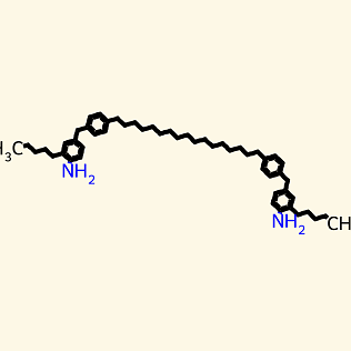 CCCCCc1cc(Cc2ccc(CCCCCCCCCCCCCCCCCc3ccc(Cc4ccc(N)c(CCCCC)c4)cc3)cc2)ccc1N